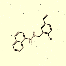 C=Cc1ccc(O)c(CNNc2cccc3ccccc23)c1